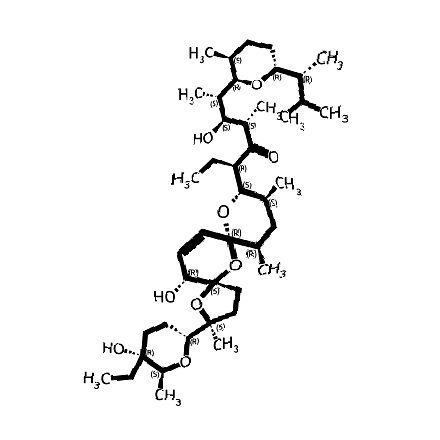 CC[C@@H](C(=O)[C@@H](C)[C@@H](O)[C@H](C)[C@@H]1O[C@@H]([C@H](C)C(C)C)CC[C@@H]1C)[C@H]1O[C@]2(C=C[C@@H](O)[C@]3(CC[C@@](C)([C@H]4CC[C@](O)(CC)[C@H](C)O4)O3)O2)[C@H](C)C[C@@H]1C